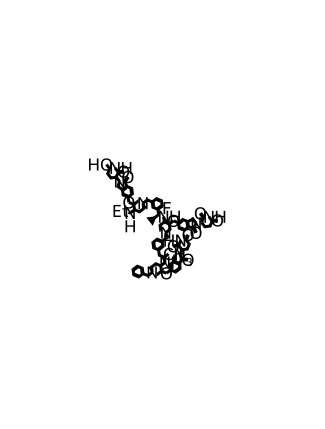 CCNC1CCN(Cc2ccc(F)c(C(NC3CCN(Cc4cccc(CC(C)NC5CCN(Cc6ccccc6)CC5Oc5ccc6c(c5)CN(C5CCC(=O)NC5=O)C6=O)c4)CC3Oc3ccc4c(c3)CN(C3CCC(=O)NC3=O)C4=O)C3CC3)c2)CC1Oc1ccc2c(c1)CN(C1CCC(O)NC1=O)C2=O